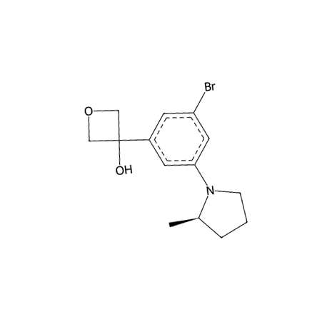 C[C@@H]1CCCN1c1cc(Br)cc(C2(O)COC2)c1